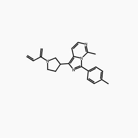 C=CC(=C)N1CCC(c2nc(-c3ccc(C)cc3)n3c(C)nccc23)C1